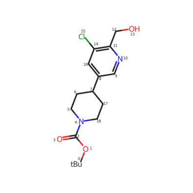 CC(C)(C)OC(=O)N1CCC(c2cnc(CO)c(Cl)c2)CC1